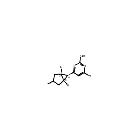 CSc1nc(Cl)cc([C@H]2[C@@H]3CC(C)C[C@@H]32)n1